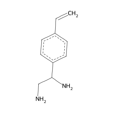 C=Cc1ccc(C(N)CN)cc1